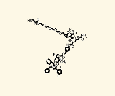 CC(C)[C@H](NC(=O)CCOCCOCCOCCOCCNC(=O)CCS)C(=O)N[C@@H](CCCNC(N)=O)C(=O)Nc1ccc(COC(=O)N2C[C@@H](CN(C(=O)[C@H](C)O)[C@@H](c3nc(-c4cc(F)ccc4F)cn3Cc3ccccc3)C3CCOCC3)[C@@H](F)C2)cc1